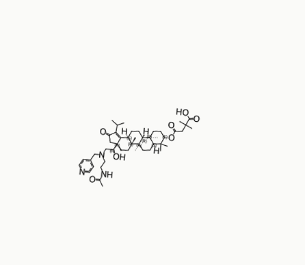 CC(=O)NCCN(Cc1ccncc1)C[C@H](O)[C@@]12CC[C@]3(C)[C@H](CC[C@@H]4[C@@]5(C)CC[C@H](OC(=O)CC(C)(C)C(=O)O)C(C)(C)[C@H]5CC[C@]43C)C1=C(C(C)C)C(=O)C2